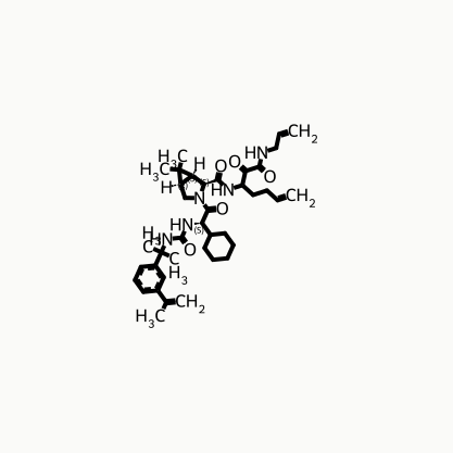 C=CCCC(NC(=O)[C@@H]1[C@H]2[C@@H](CN1C(=O)[C@@H](NC(=O)NC(C)(C)c1cccc(C(=C)C)c1)C1CCCCC1)C2(C)C)C(=O)C(=O)NCC=C